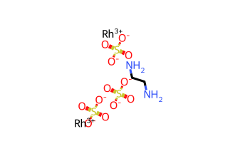 NCCN.O=S(=O)([O-])[O-].O=S(=O)([O-])[O-].O=S(=O)([O-])[O-].[Rh+3].[Rh+3]